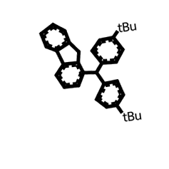 CC(C)(C)c1ccc(C(c2ccc(C(C)(C)C)cc2)c2cccc3c2Cc2ccccc2-3)cc1